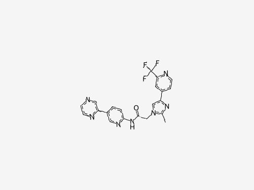 Cc1nc(-c2ccnc(C(F)(F)F)c2)cn1CC(=O)Nc1ccc(-c2cnccn2)cn1